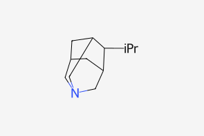 CC(C)C1C2CC3CC1CN(C3)C2